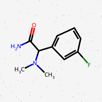 CN(C)C(C(N)=O)c1cccc(F)c1